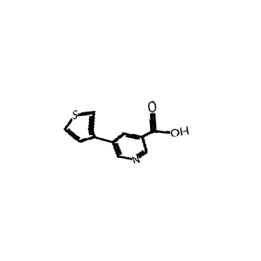 O=C(O)c1cncc(-c2ccsc2)c1